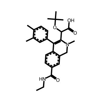 CCNC(=O)c1ccc2c(c1)CN(C)C(C(OC(C)(C)C)C(=O)O)=C2c1ccc(C)c(C)c1